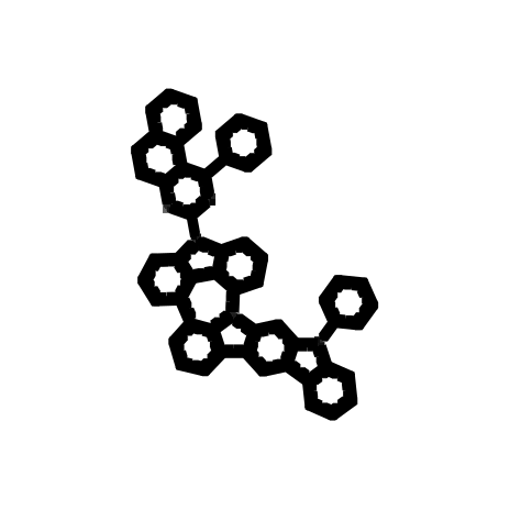 c1ccc(-c2nc(-n3c4cccc5c6cccc7c8cc9c%10ccccc%10n(-c%10ccccc%10)c9cc8n(c8cccc3c8c54)c67)nc3ccc4ccccc4c23)cc1